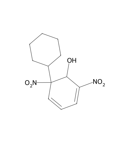 O=[N+]([O-])C1=CC=CC(C2CCCCC2)([N+](=O)[O-])C1O